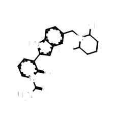 CC1CCCC(C)N1Cc1ccc2[nH]c(-c3c[c]cn(C(N)=O)c3=O)cc2c1